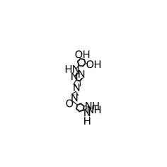 O=C(c1ccc2c(c1)NNN2)N1CC(N2Cc3cnc(Nc4cc(O)cc(O)c4)nc3C2)C1